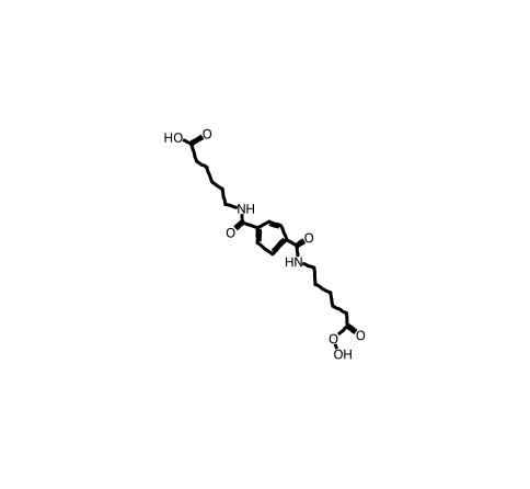 O=C(O)CCCCCNC(=O)c1ccc(C(=O)NCCCCCC(=O)OO)cc1